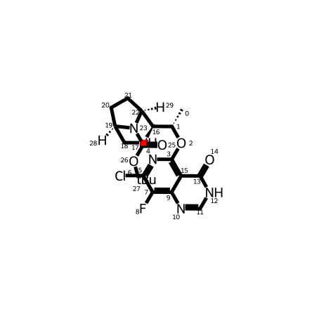 C[C@H](Oc1nc(Cl)c(F)c2nc[nH]c(=O)c12)[C@H]1NC[C@H]2CC[C@@H]1N2C(=O)OC(C)(C)C